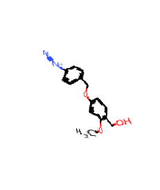 COc1cc(OCc2ccc([N+]#N)cc2)ccc1CO